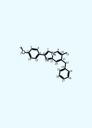 COc1ccc(-c2cn3cc(C)c(Cc4ccccc4)cc3n2)cc1